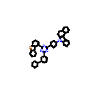 c1ccc(-c2cccc(-c3nc(-c4ccc(-n5c6ccccc6c6c7ccccc7ccc65)cc4)nc(-c4cccc5sc6ccccc6c45)n3)c2)cc1